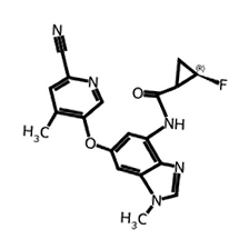 Cc1cc(C#N)ncc1Oc1cc(NC(=O)C2C[C@H]2F)c2ncn(C)c2c1